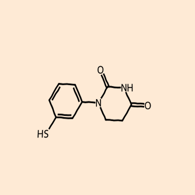 O=C1CCN(c2cccc(S)c2)C(=O)N1